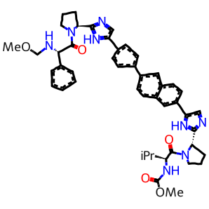 COCN[C@H](C(=O)N1CCC[C@H]1c1ncc(-c2ccc(-c3ccc4cc(-c5cnc([C@@H]6CCCN6C(=O)[C@@H](NC(=O)OC)C(C)C)[nH]5)ccc4c3)cc2)[nH]1)c1ccccc1